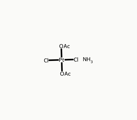 CC(=O)[O][Pt]([Cl])([Cl])[O]C(C)=O.N